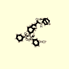 Cl.O=C(N[C@H]1CN2CCC1CC2)c1cc2ccc(N(S(=O)(=O)c3ccccc3)S(=O)(=O)c3ccccc3)cc2s1